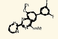 CCOc1cc(-c2cc(F)cc(F)c2)cc2c(NC)nc(-c3ncccn3)nc12